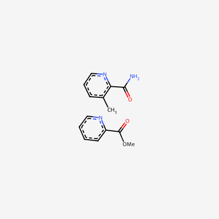 COC(=O)c1ccccn1.Cc1cccnc1C(N)=O